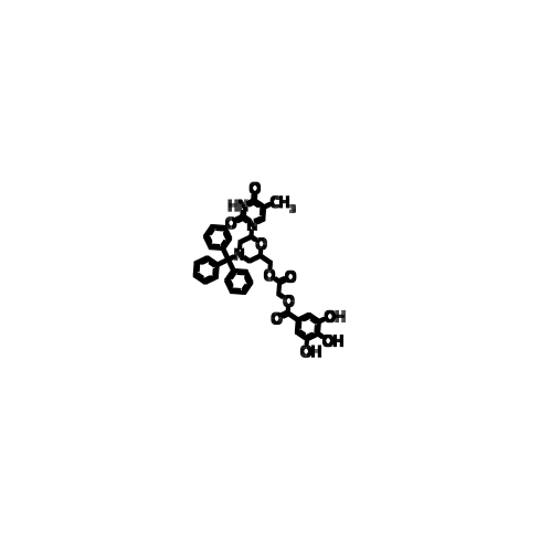 Cc1cn(C2CN(C(c3ccccc3)(c3ccccc3)c3ccccc3)CC(COC(=O)COC(=O)c3cc(O)c(O)c(O)c3)O2)c(=O)[nH]c1=O